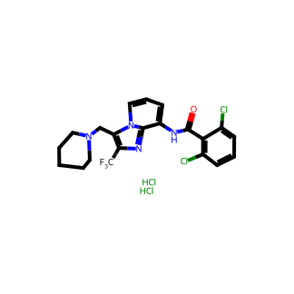 Cl.Cl.O=C(Nc1cccn2c(CN3CCCCC3)c(C(F)(F)F)nc12)c1c(Cl)cccc1Cl